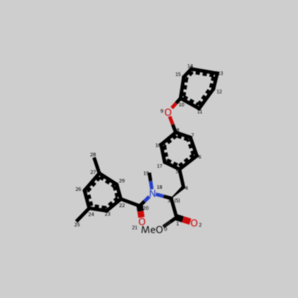 COC(=O)[C@H](Cc1ccc(Oc2ccccc2)cc1)N(C)C(=O)c1cc(C)cc(C)c1